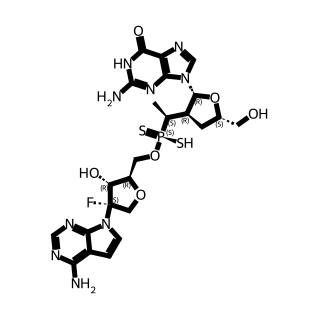 C[C@@H]([C@@H]1C[C@@H](CO)O[C@H]1n1cnc2c(=O)[nH]c(N)nc21)[P@](=S)(S)OC[C@H]1OC[C@@](F)(n2ccc3c(N)ncnc32)[C@@H]1O